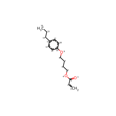 C=CC(=O)OCCCCOc1ccc(CCC)cc1